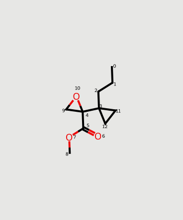 CCCC1(C2(C(=O)OC)CO2)CC1